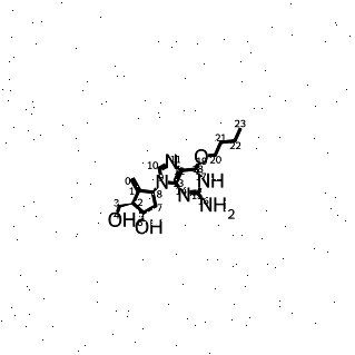 C=C1[C@H](CO)[C@@H](O)C[C@@H]1n1cnc2c1N=C(N)NC2OCCCC